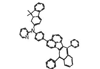 CC1(C)c2ccccc2C2=CC=C(N(c3ccc(-c4ccc5c6c(cccc46)C4=C5C(c5ccccc5)C5C=CC=CC5=C4c4ccccc4)cc3)c3ccccn3)CC21